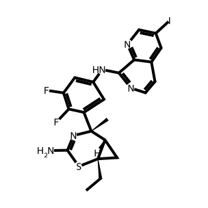 CC[C@]12C[C@H]1[C@@](C)(c1cc(Nc3nccc4cc(I)cnc34)cc(F)c1F)N=C(N)S2